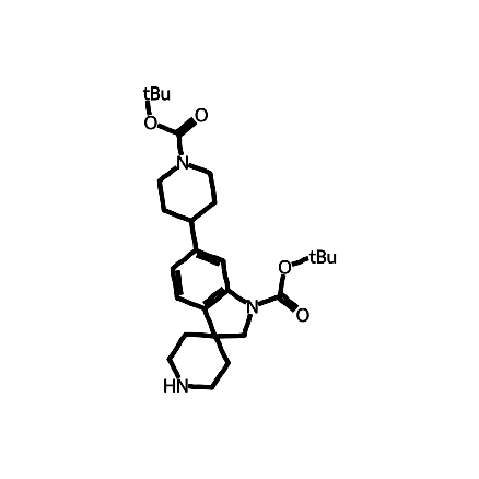 CC(C)(C)OC(=O)N1CCC(c2ccc3c(c2)N(C(=O)OC(C)(C)C)CC32CCNCC2)CC1